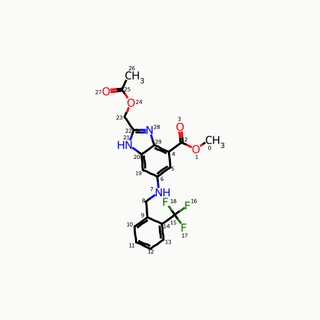 COC(=O)c1cc(NCc2ccccc2C(F)(F)F)cc2[nH]c(COC(C)=O)nc12